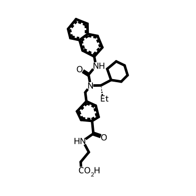 CC[C@@H](C1CCCCC1)N(Cc1ccc(C(=O)NCCC(=O)O)cc1)C(=O)Nc1ccc2ccccc2c1